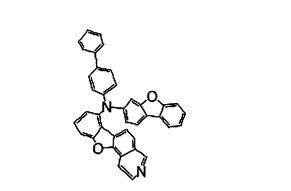 c1ccc(-c2ccc(N(c3ccc4c(c3)oc3ccccc34)c3cccc4oc5c6ccncc6ccc5c34)cc2)cc1